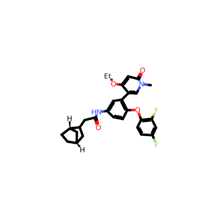 CCOc1cc(=O)n(C)cc1-c1cc(NC(=O)CC2C[C@@H]3CC[C@H]2C3)ccc1Oc1ccc(F)cc1F